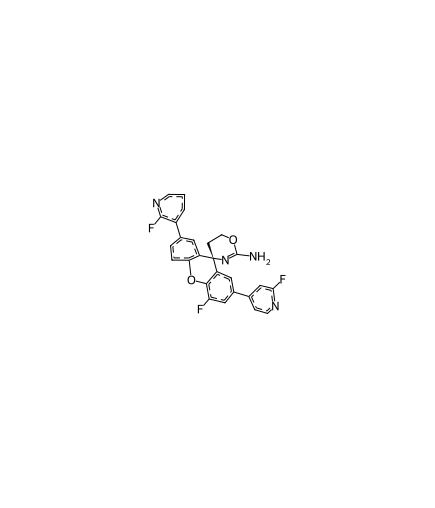 NC1=N[C@@]2(CCO1)c1cc(-c3cccnc3F)ccc1Oc1c(F)cc(-c3ccnc(F)c3)cc12